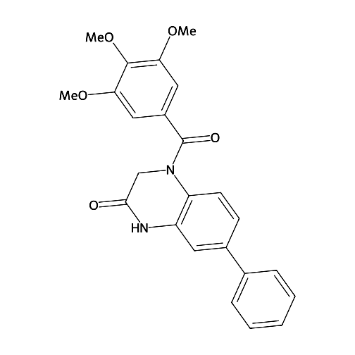 COc1cc(C(=O)N2CC(=O)Nc3cc(-c4ccccc4)ccc32)cc(OC)c1OC